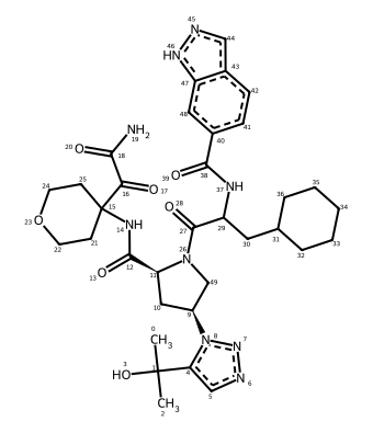 CC(C)(O)c1cnnn1[C@H]1C[C@@H](C(=O)NC2(C(=O)C(N)=O)CCOCC2)N(C(=O)C(CC2CCCCC2)NC(=O)c2ccc3cn[nH]c3c2)C1